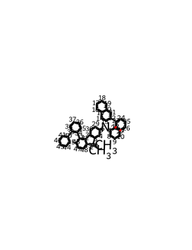 CC1(C)c2cc(N(c3ccccc3)c3cc4ccccc4cc3-c3ccccc3)ccc2-c2c(-c3ccccc3-c3ccccc3)cccc21